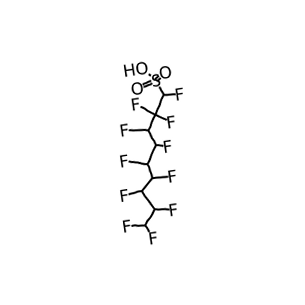 O=S(=O)(O)C(F)C(F)(F)C(F)C(F)C(F)C(F)C(F)C(F)C(F)F